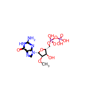 CO[C@@H]1[C@H](O)[C@@H](COP(=O)(O)OP(=O)(O)O)O[C@H]1n1cnc2c(=O)[nH]c(N)nc21